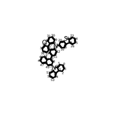 C1=CCC2C(=C1)N(c1cc(-c3ccc(N(c4ccc5c(c4)sc4ccccc45)c4cccc5oc6ccccc6c45)cc3)c3ccccc3c1)c1ccccc12